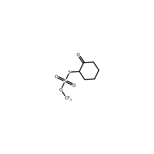 O=C1CCCCC1SS(=O)(=O)OC(F)(F)F